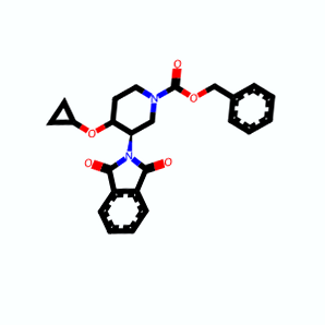 O=C(OCc1ccccc1)N1CCC(OC2CC2)[C@H](N2C(=O)c3ccccc3C2=O)C1